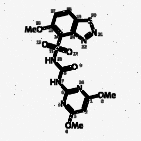 COc1cc(OC)nc(NC(=O)NS(=O)(=O)c2c(OC)ccc3snnc23)n1